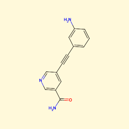 NC(=O)c1cncc(C#Cc2cccc(N)c2)c1